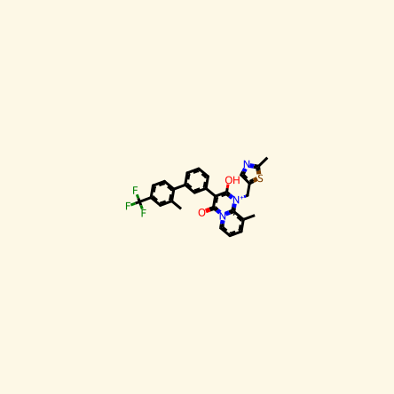 Cc1ncc(C[n+]2c(O)c(-c3cccc(-c4ccc(C(F)(F)F)cc4C)c3)c(=O)n3cccc(C)c32)s1